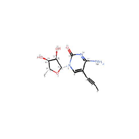 CC#Cc1cn([C@@H]2O[C@H](C)[C@@H](O)[C@H]2O)c(=O)nc1N